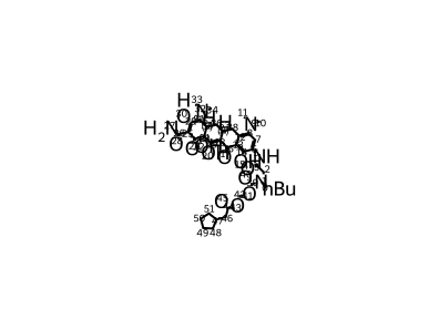 CCCCN(CC(=O)Nc1cc(N(C)C)c2c(c1O)C(=O)C1=C(O)[C@]3(O)C(=O)C(C(N)=O)=C(O)[C@@H](N(C)C)[C@@H]3C[C@@H]1C2)C(=O)OCOC(=O)CC1CCCC1